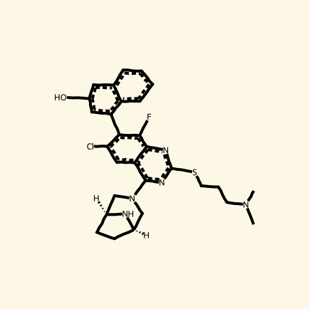 CN(C)CCCSc1nc(N2C[C@H]3CC[C@@H](C2)N3)c2cc(Cl)c(-c3cc(O)cc4ccccc34)c(F)c2n1